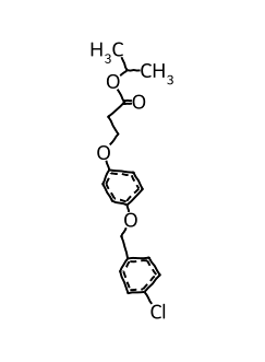 CC(C)OC(=O)CCOc1ccc(OCc2ccc(Cl)cc2)cc1